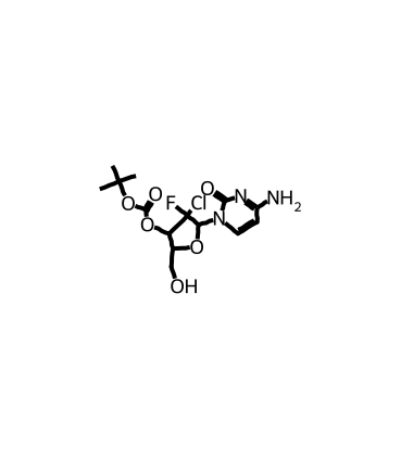 CC(C)(C)OC(=O)OC1C(CO)OC(n2ccc(N)nc2=O)C1(F)Cl